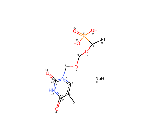 CCC(OCOCn1cc(C)c(=O)[nH]c1=O)P(=O)(O)O.[NaH]